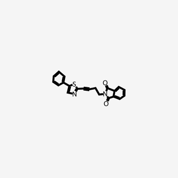 O=C1c2ccccc2C(=O)N1CCC#Cc1ncc(-c2ccccc2)s1